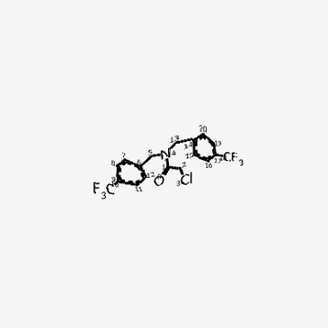 O=C(CCl)N(Cc1ccc(C(F)(F)F)cc1)Cc1ccc(C(F)(F)F)cc1